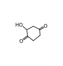 O=C1CCC(=O)C(O)C1